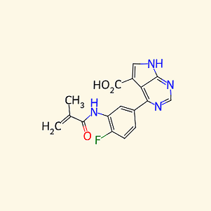 C=C(C)C(=O)Nc1cc(-c2ncnc3[nH]cc(C(=O)O)c23)ccc1F